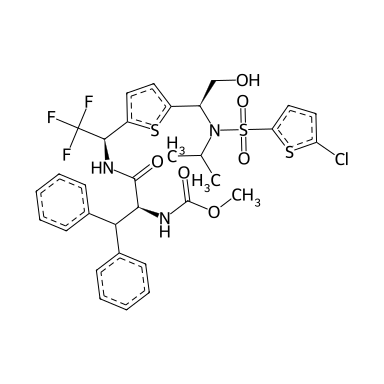 COC(=O)N[C@H](C(=O)N[C@H](c1ccc([C@@H](CO)N(C(C)C)S(=O)(=O)c2ccc(Cl)s2)s1)C(F)(F)F)C(c1ccccc1)c1ccccc1